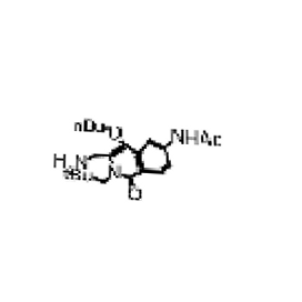 CCCCOc1c(CN)n(CC(C)(C)C)c(=O)c2ccc(NC(C)=O)cc12